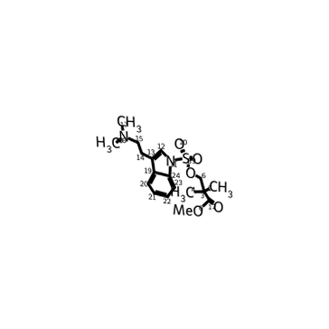 COC(=O)C(C)(C)COS(=O)(=O)n1cc(CCN(C)C)c2ccccc21